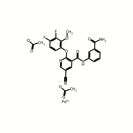 CC(=O)[O-].CC(=O)[O-].COc1c(Oc2ncc(C#N)cc2C(=O)Nc2cccc(C(N)=O)c2)ccc(F)c1F.[Pd+2]